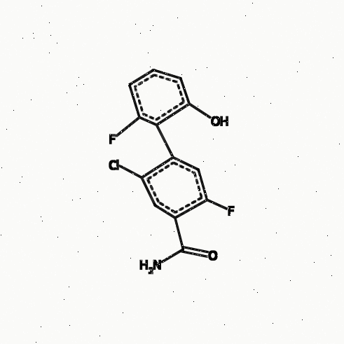 NC(=O)c1cc(Cl)c(-c2c(O)cccc2F)cc1F